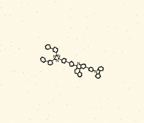 c1ccc(-c2cccc(-c3nc(-c4ccc(-c5ccc(-c6nc7ccc(-c8ccc(-n9c%10ccccc%10c%10ccccc%109)cc8)cc7c7c6ccc6ccccc67)cc5)cc4)nc(-c4cccc(-c5ccccc5)c4)n3)c2)cc1